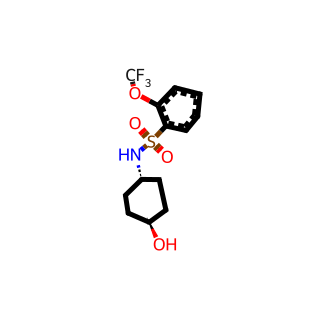 O=S(=O)(N[C@H]1CC[C@H](O)CC1)c1ccccc1OC(F)(F)F